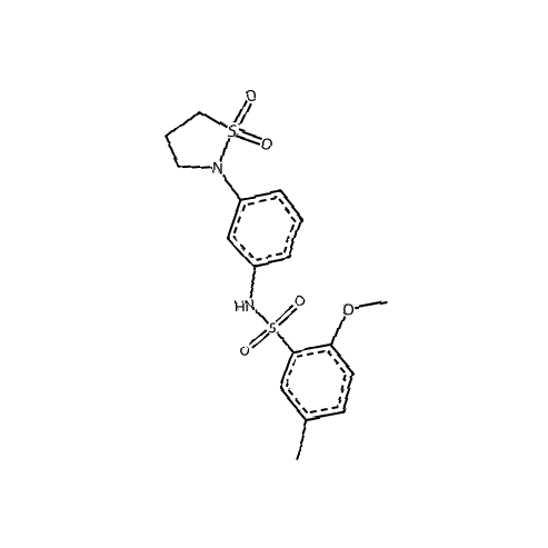 COc1ccc(C)cc1S(=O)(=O)Nc1cccc(N2CCCS2(=O)=O)c1